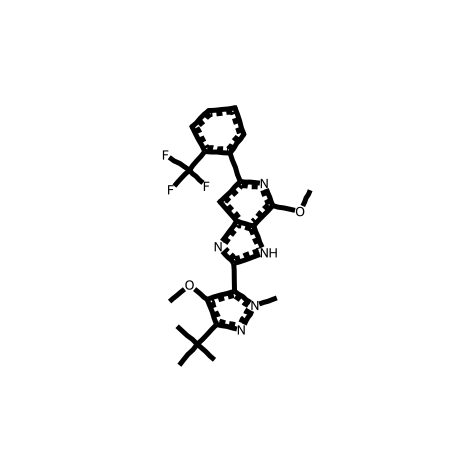 COc1c(C(C)(C)C)nn(C)c1-c1nc2cc(-c3ccccc3C(F)(F)F)nc(OC)c2[nH]1